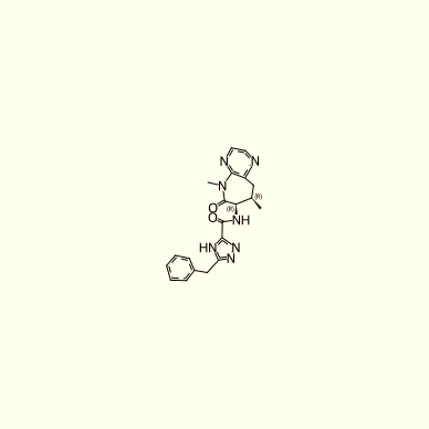 C[C@@H]1Cc2nccnc2N(C)C(=O)[C@@H]1NC(=O)c1nnc(Cc2ccccc2)[nH]1